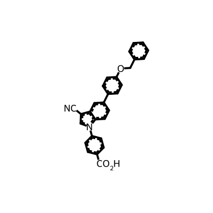 N#Cc1cn(-c2ccc(C(=O)O)cc2)c2ccc(-c3ccc(OCc4ccccc4)cc3)cc12